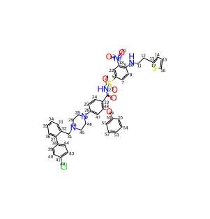 O=C(NS(=O)(=O)c1ccc(NCCc2cccs2)c([N+](=O)[O-])c1)c1ccc(N2CCN(Cc3ccccc3-c3ccc(Cl)cc3)CC2)cc1Oc1ccccc1